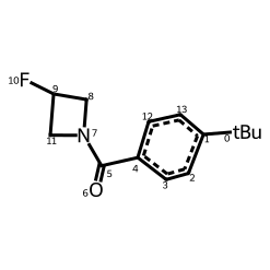 CC(C)(C)c1ccc(C(=O)N2CC(F)C2)cc1